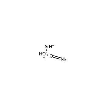 [OH-].[O]=[Ni].[SrH+]